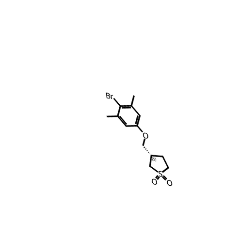 Cc1cc(OC[C@@H]2CCS(=O)(=O)C2)cc(C)c1Br